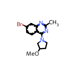 COC1CCN(c2nc(C)nc3cc(Br)ccc23)C1